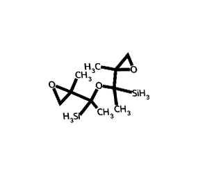 CC([SiH3])(OC(C)([SiH3])C1(C)CO1)C1(C)CO1